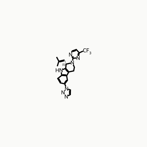 CC(C)=C[C@H]1c2[nH]c3ccc(-n4ccnn4)cc3c2CCN1c1nccc(C(F)(F)F)n1